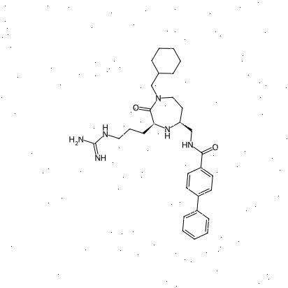 N=C(N)NCCC[C@@H]1N[C@H](CNC(=O)c2ccc(-c3ccccc3)cc2)CCN(CC2CCCCC2)C1=O